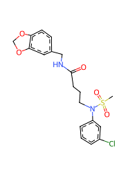 CS(=O)(=O)N(CCCC(=O)NCc1ccc2c(c1)OCO2)c1cccc(Cl)c1